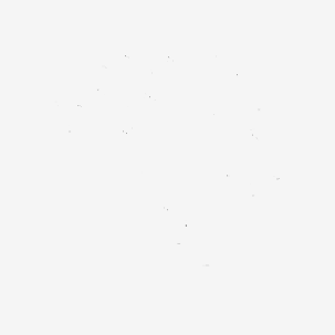 O=C(NCCCNc1nc(Nc2ccc(CN3CCOCC3)nc2)ncc1C1CC1)C1CCC1